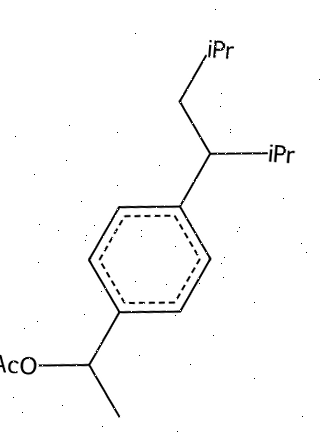 CC(=O)OC(C)c1ccc(C(CC(C)C)C(C)C)cc1